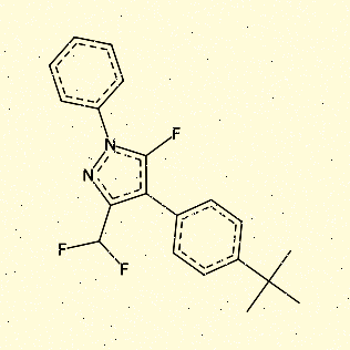 CC(C)(C)c1ccc(-c2c(C(F)F)nn(-c3ccccc3)c2F)cc1